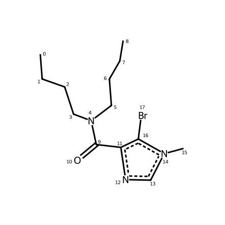 CCCCN(CCCC)C(=O)c1ncn(C)c1Br